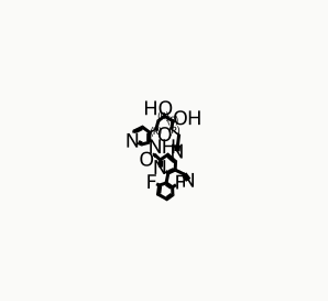 N#CC[C@H]1O[C@@H](c2ccncc2NC(=O)c2ccc(C#N)c(-c3c(F)cccc3F)n2)C[C@@H](O)[C@@H]1O